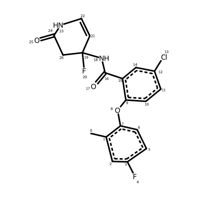 Cc1cc(F)ccc1Oc1ccc(Cl)cc1C(=O)NC1(F)C=CNC(=O)C1